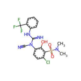 CN(C)S(=O)(=O)c1c(Cl)ccc(N(C#N)C(=N)Nc2ccccc2C(F)(F)F)c1O